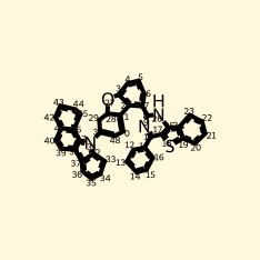 C1=C2c3c(cccc3C3N=C(c4ccccc4)c4sc5ccccc5c4N3)OC2CC(n2c3ccccc3c3ccc4ccccc4c32)=C1